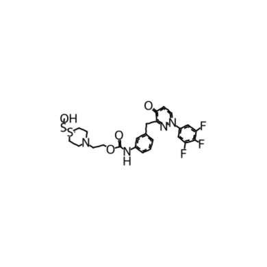 O=C(Nc1cccc(Cc2nn(-c3cc(F)c(F)c(F)c3)ccc2=O)c1)OCCN1CC[S](SO)CC1